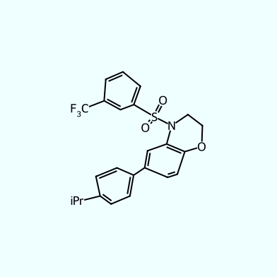 CC(C)c1ccc(-c2ccc3c(c2)N(S(=O)(=O)c2cccc(C(F)(F)F)c2)CCO3)cc1